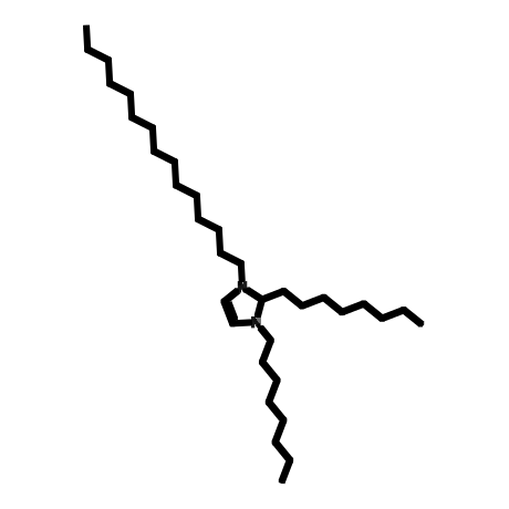 CCCCCCCCCCCCCCCN1C=CN(CCCCCCCC)C1CCCCCCCC